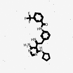 N=C(Cc1cccc(NC(=O)c2cccc(C(F)(F)F)c2)c1)c1c(N)ncnc1NC1CCCC1